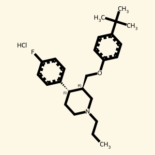 CCCN1CC[C@H](c2ccc(F)cc2)[C@@H](COc2ccc(C(C)(C)C)cc2)C1.Cl